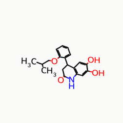 CC(C)COc1ccccc1C1CC(=O)Nc2cc(O)c(O)cc21